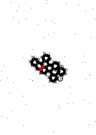 c1ccc(-c2c3ccccc3c(-c3cccc4oc5ccccc5c34)c3ccccc23)c(-c2cccc3ccccc23)c1